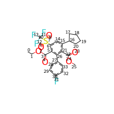 CCOC(=O)c1c(S(=O)(=O)C(F)(F)F)[c]c(C2CCCC2)c(C(=O)OC)c1-c1ccc(F)cc1